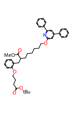 COC(=O)C(CCCCCCOc1cc(-c2ccccc2)cc(-c2ccccc2)n1)Cc1ccccc1OCCCC(=O)OC(C)(C)C